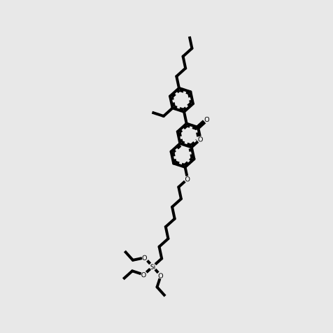 CCCCCc1ccc(-c2cc3ccc(OCCCCCCCC[Si](OCC)(OCC)OCC)cc3oc2=O)c(CC)c1